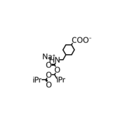 CC(C)C(=O)OC(OC(=O)NCC1CCC(C(=O)[O-])CC1)C(C)C.[Na+]